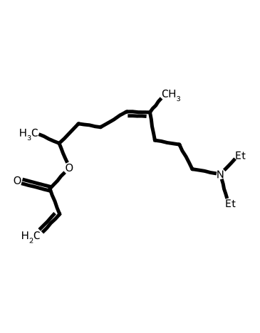 C=CC(=O)OC(C)CC/C=C(/C)CCCN(CC)CC